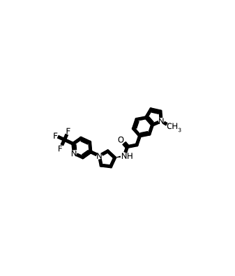 Cn1ccc2ccc(CC(=O)N[C@@H]3CCN(c4ccc(C(F)(F)F)nc4)C3)cc21